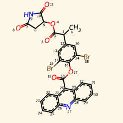 CC(C(=O)OC1CC(=O)NC1=O)c1cc(Br)c(OC(=O)c2c3ccccc3nc3ccccc23)c(Br)c1